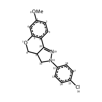 COc1ccc2c(c1)OCC1CN(c3ccc(Cl)cc3)N=C21